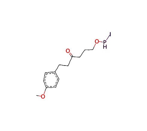 COc1ccc(CCC(=O)CCCOPI)cc1